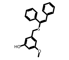 COc1cc(O)cc(CSC(=Cc2ccccc2)c2ccccc2)c1